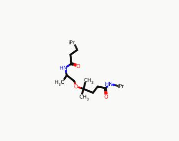 CC(C)CCC(=O)NC(C)COC(C)(C)CCC(=O)NC(C)C